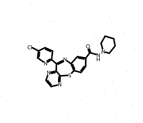 O=C(NN1CCCCC1)c1ccc2c(c1)N=C(c1ccc(Cl)cn1)c1nccnc1S2